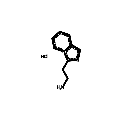 Cl.NCCc1ncc2ccccn12